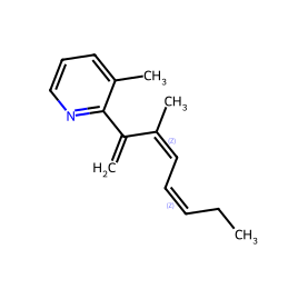 C=C(/C(C)=C\C=C/CC)c1ncccc1C